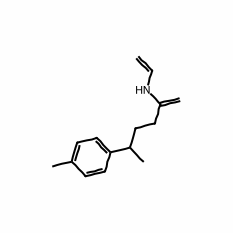 C=CNC(=C)CCC(C)c1ccc(C)cc1